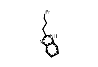 CC(C)CCCc1nc2ccccc2[nH]1